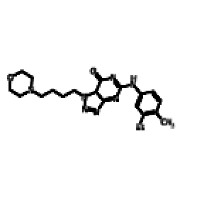 CCc1cc(NC2=NC(=O)C3C(=N2)N=NN3CCCCN2CCOCC2)ccc1C